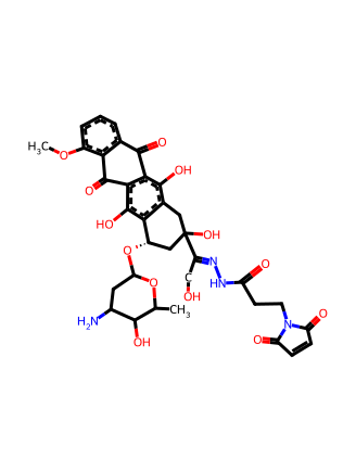 COc1cccc2c1C(=O)c1c(O)c3c(c(O)c1C2=O)CC(O)(/C(CO)=N/NC(=O)CCN1C(=O)C=CC1=O)C[C@@H]3OC1CC(N)C(O)C(C)O1